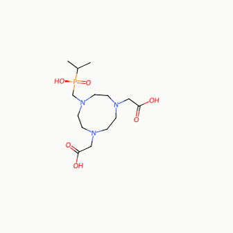 CC(C)[P@@](=O)(O)CN1CCN(CC(=O)O)CCN(CC(=O)O)CC1